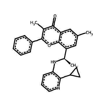 Cc1cc([C@@H](C)Nc2cccnc2C2CC2)c2oc(-c3ccccc3)c(C)c(=O)c2c1